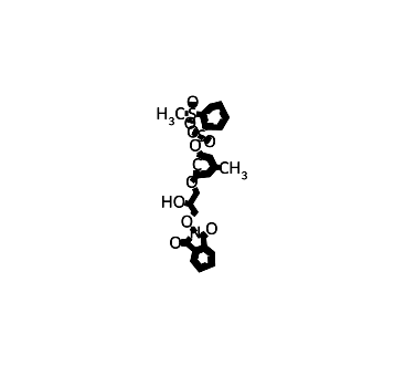 Cc1cc(OCC(O)CON2C(=O)c3ccccc3C2=O)cc(OS(=O)(=O)c2ccccc2S(C)(=O)=O)c1